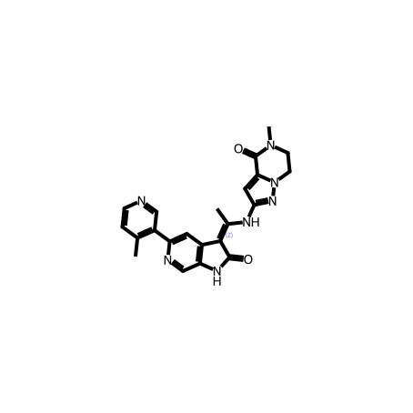 C/C(Nc1cc2n(n1)CCN(C)C2=O)=C1/C(=O)Nc2cnc(-c3cnccc3C)cc21